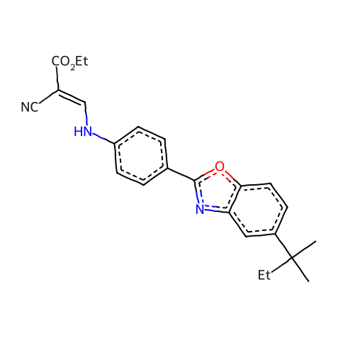 CCOC(=O)C(C#N)=CNc1ccc(-c2nc3cc(C(C)(C)CC)ccc3o2)cc1